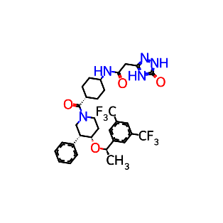 C[C@@H](O[C@H]1CCN(C(=O)[C@H]2CC[C@H](NC(=O)Cc3n[nH]c(=O)[nH]3)CC2)C[C@H]1c1ccccc1)c1cc(C(F)(F)F)cc(C(F)(F)F)c1